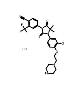 CC1(C)C(=O)N(c2ccc(C#N)c(C(F)(F)F)c2)C(=S)N1c1ccc(OCCN2CCNCC2)c(Cl)c1.Cl